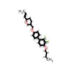 C/C=C/C1CCC(COc2ccc(-c3ccc(OCCCC)c(F)c3F)cc2)CO1